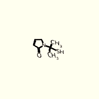 CC(C)(S)N1CC=CC1=O